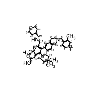 Cc1cc(F)ccc1CN1CCc2cc(-c3c(CNCC4CCOCC4)nc(C)c(CC(=O)O)c3N3CCC(C)(C)CC3)ccc2C1